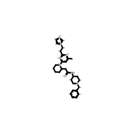 Cc1cc(N2CCCCC2CC(=O)NC2CCN(Cc3ccccc3)CC2)nc(CCn2ccnc2)n1